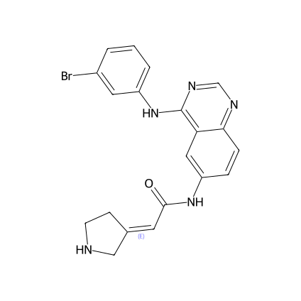 O=C(/C=C1\CCNC1)Nc1ccc2ncnc(Nc3cccc(Br)c3)c2c1